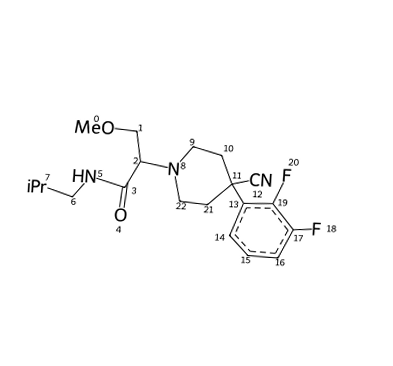 COCC(C(=O)NCC(C)C)N1CCC(C#N)(c2cccc(F)c2F)CC1